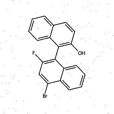 Oc1ccc2ccccc2c1-c1c(F)cc(Br)c2ccccc12